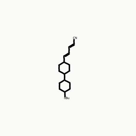 CCCCC1CCC(C2CCC(C=CC=CC#N)CC2)CC1